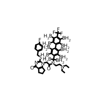 Bc1c(B)c(C(F)(F)F)c(B)c(B)c1-c1c(B)c(B)c(C(B)(B)N(CCN(CC)CC)C(=O)Cn2c(SCc3ccc(F)cc3)nc(=O)c3c2CCC3)c(B)c1B